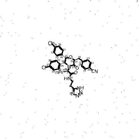 CCC[C@H](C(=O)NCCc1nnn[nH]1)N1C(=O)[C@H](Cc2ccc(C#N)cc2)O[C@@H](c2ccc(Cl)cc2)[C@H]1c1ccc(Cl)cc1